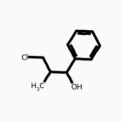 CC(CCl)C(O)c1ccccc1